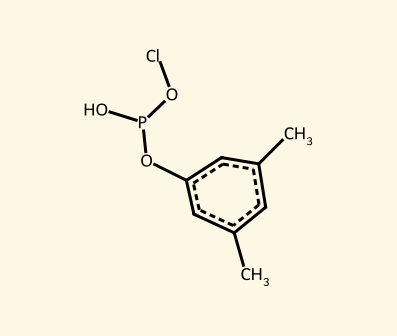 Cc1cc(C)cc(OP(O)OCl)c1